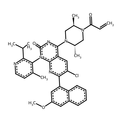 C=CC(=O)N1C[C@H](C)N(c2nc(=O)n(-c3c(C)ccnc3C(C)C)c3nc(-c4cc(OC)cc5ccccc45)c(Cl)cc23)C[C@H]1C